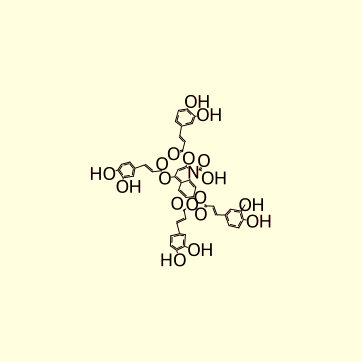 O=C(C=Cc1ccc(O)c(O)c1)OC1=CC(OC(=O)C=Cc2ccc(O)c(O)c2)=C2C=CC(OC(=O)C=Cc3ccc(O)c(O)c3)(OC(=O)C=Cc3ccc(O)c(O)c3)C=C2N1C(=O)O